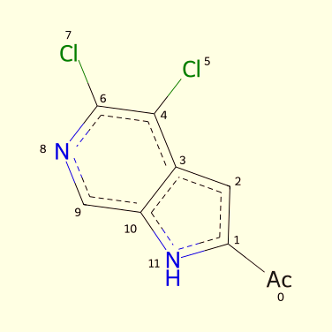 CC(=O)c1cc2c(Cl)c(Cl)ncc2[nH]1